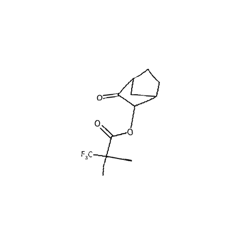 CC(C)(C(=O)OC1C(=O)C2CCC1C2)C(F)(F)F